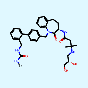 CCNC(=O)NCc1ccccc1-c1ccc(CN2C(=O)[C@H](NC(=O)CC(C)(C)NC[C@H](O)CO)CCc3ccccc32)cc1